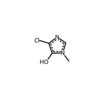 Cn1cnc(Cl)c1O